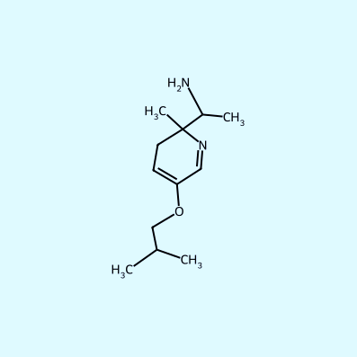 CC(C)COC1=CCC(C)(C(C)N)N=C1